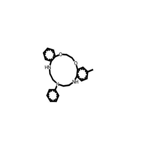 Cc1ccc2c(c1)OCCOc1ccccc1NCCN(c1ccccc1)CCN2